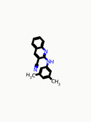 Cc1cc(C)cc(Nc2nc3ccccc3cc2C#N)c1